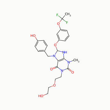 Cn1c2c(c(=O)n(CCOCCO)c1=O)N(Cc1ccc(O)cc1)C(Oc1cccc(OC(C)(F)F)c1)N2